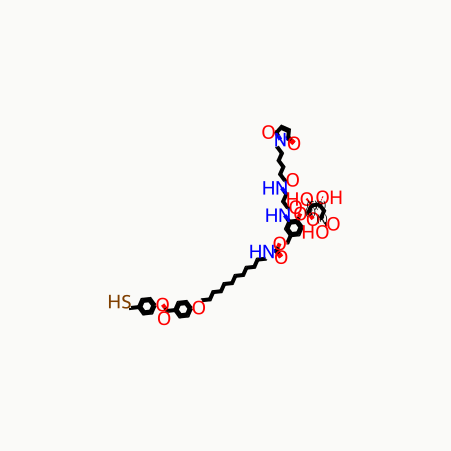 O=C(CCCCCN1C(=O)C=CC1=O)NCCC(=O)Nc1cc(COC(=O)NCCCCCCCCCCCCOc2ccc(C(=O)Oc3ccc(CS)cc3)cc2)ccc1O[C@H]1O[C@@H](C(=O)O)C[C@@H](O)[C@@H]1O